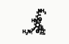 NCC#Cc1cc(NC(=O)CCCN)ccc1C(=O)C1(F)CCC1